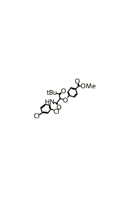 COC(=O)c1ccc(OC(C(=O)Nc2ccc(Cl)cc2Cl)C(=O)C(C)(C)C)cc1